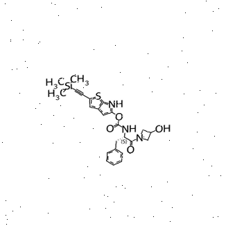 C[Si](C)(C)C#Cc1cc2cc(OC(=O)N[C@@H](Cc3ccccc3)C(=O)N3CC(O)C3)[nH]c2s1